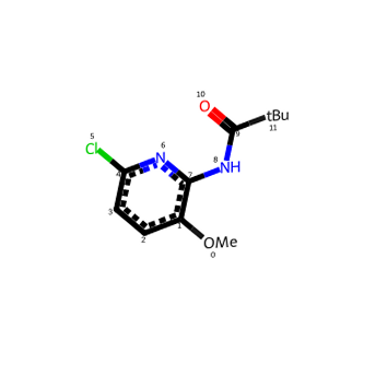 COc1ccc(Cl)nc1NC(=O)C(C)(C)C